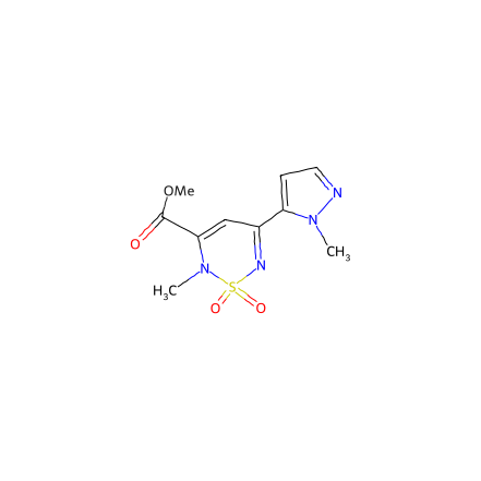 COC(=O)C1=CC(c2ccnn2C)=NS(=O)(=O)N1C